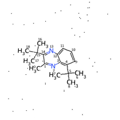 Cc1nc2c(C(C)(C)C)cccc2nc1C(C)(C)C